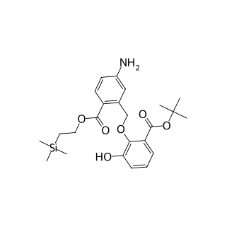 CC(C)(C)OC(=O)c1cccc(O)c1OCc1cc(N)ccc1C(=O)OCC[Si](C)(C)C